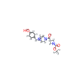 CC(C)(C)OC(=O)N1CC(C(=O)N2CC3CC2CN3Cc2ccc(O)cc2)C1